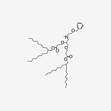 CCCCCCCCC(CCCCCCCC)COC(=O)CCOCC(CN(C)CCOCc1ccccc1)OCCC(=O)OCC(CCCCCCCC)CCCCCCCC